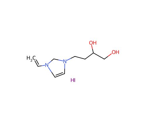 C=CN1C=CN(CCC(O)CO)C1.I